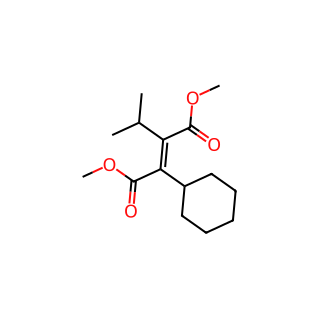 COC(=O)C(=C(C(=O)OC)C1CCCCC1)C(C)C